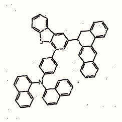 c1ccc2c(c1)CC(c1cc(-c3ccc(N(c4cccc5ccccc45)c4cccc5ccccc45)cc3)c3sc4ccccc4c3c1)c1cc3ccccc3cc1-2